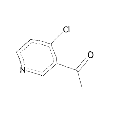 CC(=O)c1cnccc1Cl